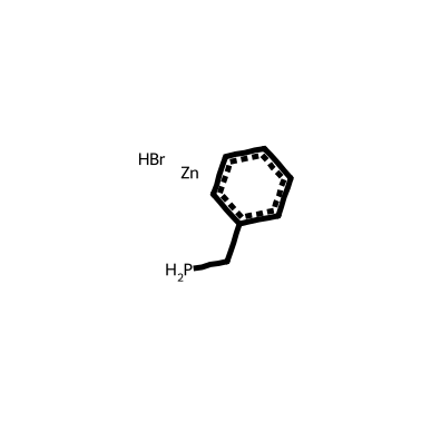 Br.PCc1ccccc1.[Zn]